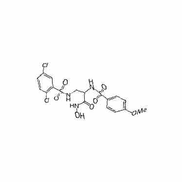 COc1ccc(S(=O)(=O)NC(CNS(=O)(=O)c2cc(Cl)ccc2Cl)C(=O)NO)cc1